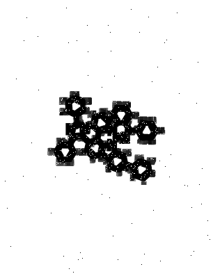 c1ccc(-c2ccc3c4ccc5c(c6ccccc6n6c(-c7ccccc7)nc(-c7ccccc7)c56)c4n(-c4nc(-c5ccccc5)c5ccccc5n4)c3c2)cc1